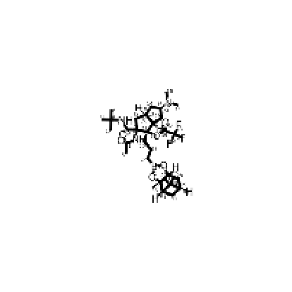 CC(=O)N[C@@]1(C(=O)NC(C)(C)C)C[C@H]2C[C@@H](N(C)C)C[C@H]2[C@]1(CCCB1O[C@@H]2C[C@@H]3C[C@@H](C3(C)C)[C@]2(C)O1)OC(=O)C(F)(F)F